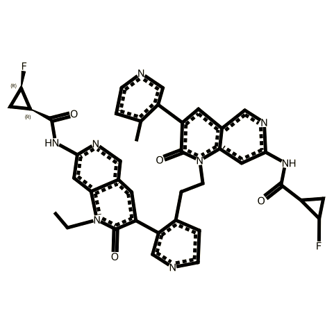 CCn1c(=O)c(-c2cnccc2CCn2c(=O)c(-c3cnccc3C)cc3cnc(NC(=O)C4CC4F)cc32)cc2cnc(NC(=O)[C@H]3C[C@H]3F)cc21